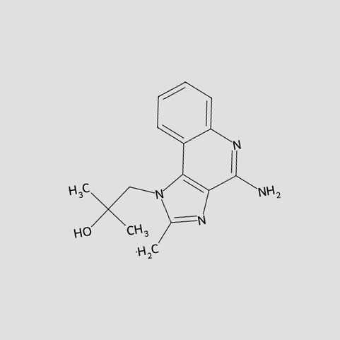 [CH2]c1nc2c(N)nc3ccccc3c2n1CC(C)(C)O